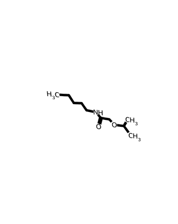 CCCCCNC(=O)COC(C)C